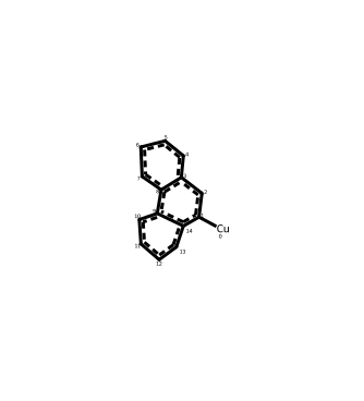 [Cu][c]1cc2ccccc2c2ccccc12